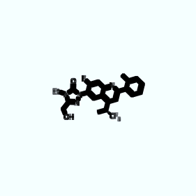 CCn1c(CO)nn(-c2cc3c([C@@H](C)C(F)(F)F)cc(-c4ccccc4C)nc3cc2F)c1=O